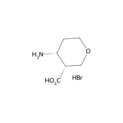 Br.N[C@@H]1CCOC[C@@H]1C(=O)O